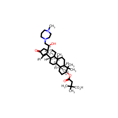 CC(C)C1=C2[C@H]3CC[C@@H]4[C@@]5(C)CC[C@H](OC(=O)CC(C)(C)C(=O)O)C(C)(C)[C@@H]5CC[C@@]4(C)[C@]3(C)CC[C@@]2([C@H](O)CN2CCCN(C)CC2)CC1=O